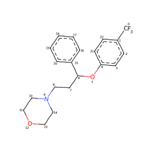 FC(F)(F)c1ccc(OC(CCN2CCOCC2)c2ccccc2)cc1